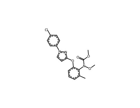 COC(=O)N(OC)c1c(C)cccc1Oc1ccn(-c2ccc(Cl)cc2)n1